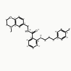 CN1CCOc2ccc(CNC(=O)c3cccnc3SCCCc3ccc(F)cc3)cc21